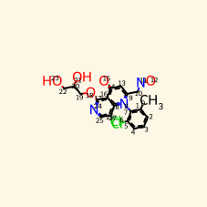 Cc1cccc(Cl)c1-n1c(CN=O)cc(=O)c2c(OCC(O)CO)ncc(Cl)c21